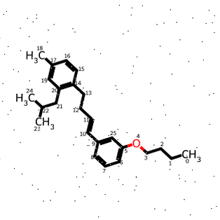 CCCCOc1cccc(C=CCCc2ccc(C)cc2CC(C)C)c1